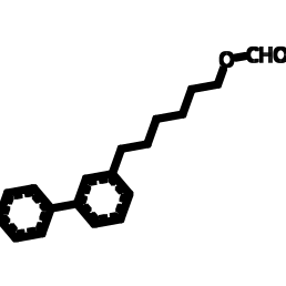 O=COCCCCCCc1cccc(-c2ccccc2)c1